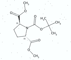 COC(=O)[C@@H]1CC[C@@H](C(=O)OC)N1C(=O)OC(C)(C)C